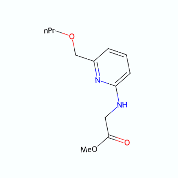 CCCOCc1cccc(NCC(=O)OC)n1